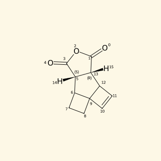 O=C1OC(=O)[C@H]2C3CCC34C=CC4[C@@H]12